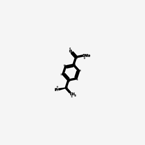 COC(=O)c1ccc([C@@H](C)C(C)C)cc1